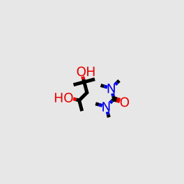 CC(O)CC(C)(C)O.CN(C)C(=O)N(C)C